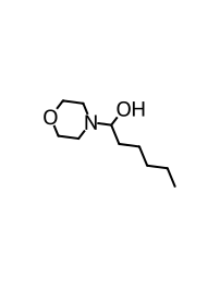 CCCCCC(O)N1CCOCC1